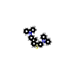 CC1(C)c2cc(-n3c4ccccc4c4ccccc43)ccc2-c2ccc3sc4ccc(-n5c6ccccc6c6ccccc65)cc4c3c21